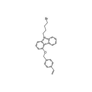 C=Cc1ccc(COc2cccc3c2c2ccccc2n3CCCCBr)cc1